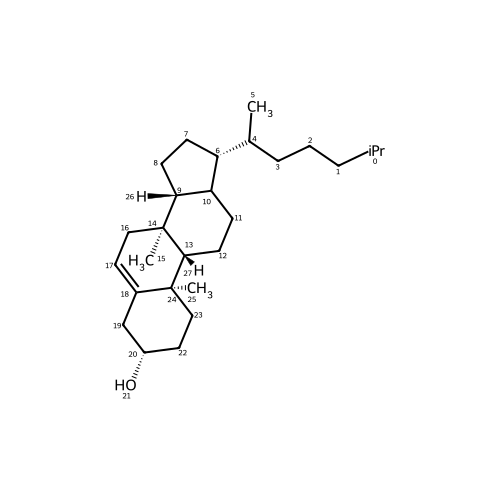 CC(C)CCCC(C)[C@H]1CC[C@@H]2C1CC[C@H]1[C@@]2(C)CC=C2C[C@@H](O)CC[C@@]21C